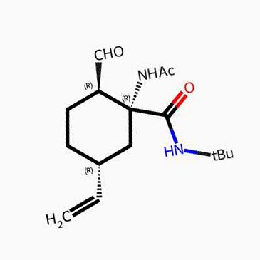 C=C[C@@H]1CC[C@@H](C=O)[C@@](NC(C)=O)(C(=O)NC(C)(C)C)C1